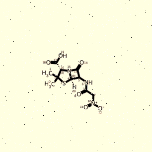 CC1(C)S[C@@H]2C(NC(=O)C[N+](=O)[O-])C(=O)N2[C@H]1C(=O)O